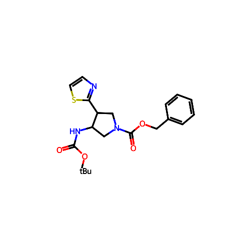 CC(C)(C)OC(=O)NC1CN(C(=O)OCc2ccccc2)CC1c1nccs1